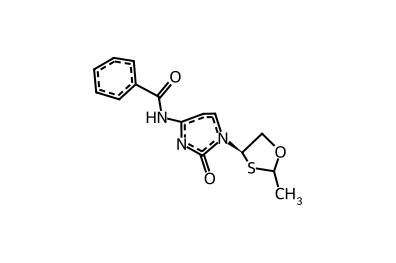 CC1OC[C@H](n2ccc(NC(=O)c3ccccc3)nc2=O)S1